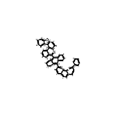 c1ccc(-c2ccc3ccc4ccc(-c5c6ccccc6c(-c6nc7ccc8oc9ccccc9c8c7c7ccccc67)c6ccccc56)nc4c3n2)cc1